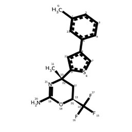 Cc1cccc(-c2csc([C@]3(C)C[C@@H](C(F)(F)F)OC(N)=N3)c2)c1